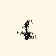 CCOC(=O)C1=C(COCCNS(=O)(=O)N2CCN(C)CC2)NC(C)=C(C(=O)OC)C1c1ccccc1Cl